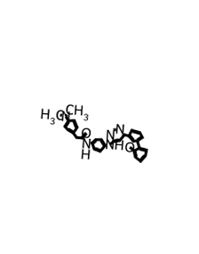 CN(C)c1ccc(CC(=O)Nc2ccc(Nc3cc(-c4cccc5c4oc4ccccc45)ncn3)cc2)cc1